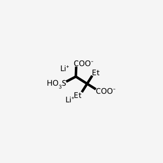 CCC(CC)(C(=O)[O-])C(C(=O)[O-])S(=O)(=O)O.[Li+].[Li+]